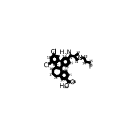 NC(c1ccc(C2=C(c3ccc(Cl)cc3Cl)CCCc3cc(C(=O)O)ccc32)cc1)C1CN(CCCF)C1